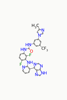 Cc1cn(-c2cc(NC(=O)Nc3ccc(F)c(Nc4ncccc4-c4ncnc5[nH]cnc45)c3F)cc(C(F)(F)F)c2)cn1